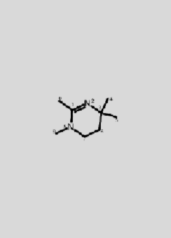 CC1=NC(C)(C)CCN1C